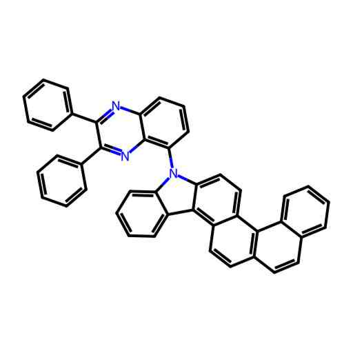 c1ccc(-c2nc3cccc(-n4c5ccccc5c5c6ccc7ccc8ccccc8c7c6ccc54)c3nc2-c2ccccc2)cc1